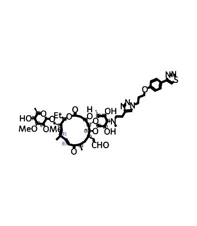 CC[C@H]1OC(=O)C[C@@H](O)[C@H](C)[C@@H](O[C@@H]2O[C@H](C)[C@@H](O)[C@H](N(C)CCc3cn(CCCOc4ccc(-c5csnn5)cc4)nn3)[C@H]2O)[C@@H](CC=O)C[C@@H](C)C(=O)/C=C/C(C)=C/[C@@H]1COC1O[C@H](C)[C@@H](O)[C@@H](OC)[C@H]1OC